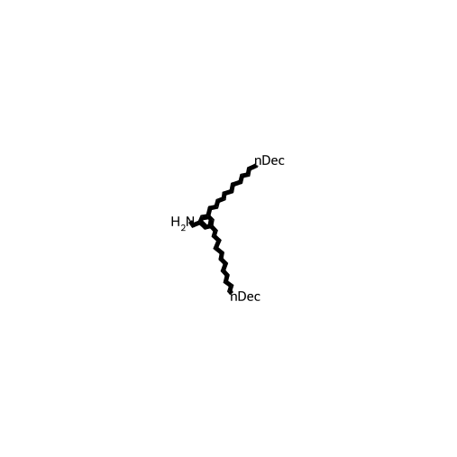 CCCCCCCCCCCCCCCCCCCCCCc1cc(CN)cc(CCCCCCCCCCCCCCCCCCCCCC)c1